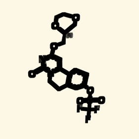 O=c1nc(OC[C@@H]2COCCO2)cc2n1CCc1cc(OS(=O)(=O)C(F)(F)F)ccc1-2